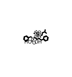 CC(C)CCN(C(Cc1ccccc1)C(O)CN(Cc1ccccc1)C(=O)O)S(=O)(=O)N(C)C